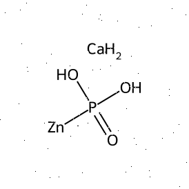 O=[P](O)(O)[Zn].[CaH2]